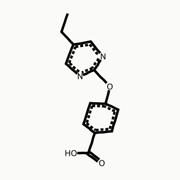 CCc1cnc(Oc2ccc(C(=O)O)cc2)nc1